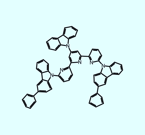 c1ccc(-c2ccc3c(c2)c2ccccc2n3-c2cccc(-c3cc(-n4c5ccccc5c5ccccc54)cc(-c4cccc(-n5c6ccccc6c6cc(-c7ccccc7)ccc65)n4)n3)n2)cc1